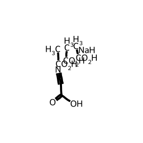 CC(=O)O.CC(=O)O.CC(=O)O.N#CC(=O)O.[NaH]